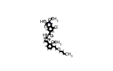 CCCCOCCc1cccc(-c2csc(NC(=O)c3cc(Cl)c(/C=C(/OC)C(=O)O)c(Cl)c3)n2)c1OC